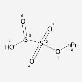 CCCOS(=O)(=O)S(=O)O